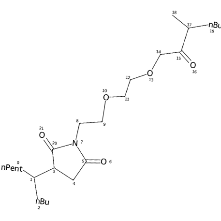 CCCCCC(CCCC)C1CC(=O)N(CCOCCOCC(=O)C(C)CCCC)C1=O